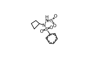 O=[SH](=O)NN(C1CCC1)S(=O)(=O)c1ccccc1